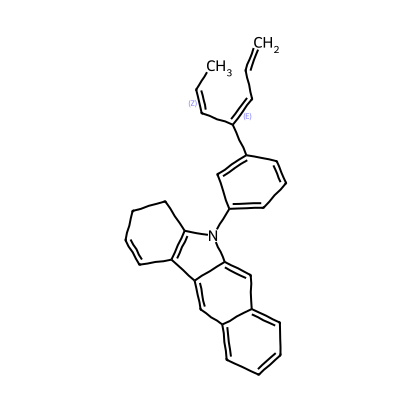 C=C/C=C(\C=C/C)c1cccc(-n2c3c(c4cc5ccccc5cc42)C=CCC3)c1